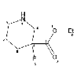 CCOC(=O)C1(F)CCCNC1